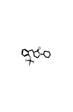 O=C1C(Cc2ccccc2SC(F)(F)F)CCN1C1CCCCC1